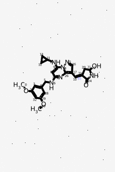 COc1cc(CNc2cc(NC3CC3)n3ncc(/C=C4\CC(O)NC4=O)c3n2)cc(OC)c1